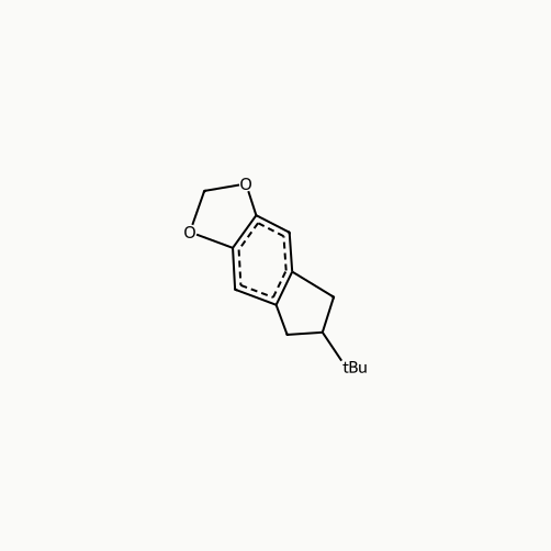 CC(C)(C)C1Cc2cc3c(cc2C1)OCO3